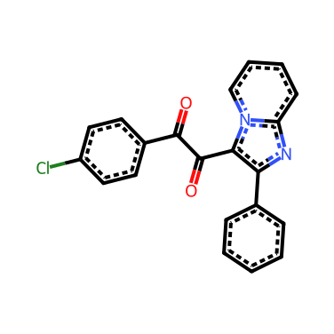 O=C(C(=O)c1c(-c2ccccc2)nc2ccccn12)c1ccc(Cl)cc1